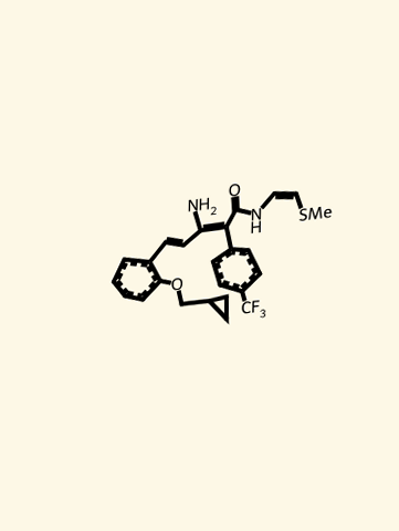 CS/C=C\NC(=O)/C(=C(N)/C=C/c1ccccc1OCC1CC1)c1ccc(C(F)(F)F)cc1